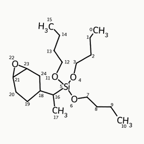 CCCCO[Si](OCCCC)(OCCCC)C(C)C1CCC2OC2C1